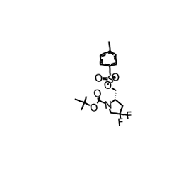 Cc1ccc(S(=O)(=O)OC[C@@H]2CC(F)(F)CN2C(=O)OC(C)(C)C)cc1